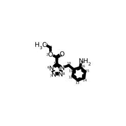 CCOC(=O)c1nnnn1Cc1ccccc1N